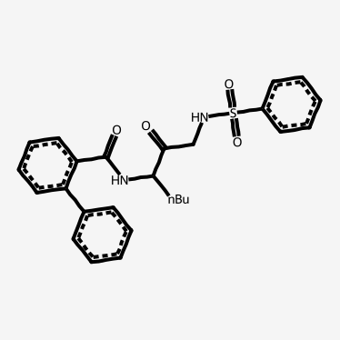 CCCCC(NC(=O)c1ccccc1-c1ccccc1)C(=O)CNS(=O)(=O)c1ccccc1